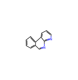 c1ccc2c(c1)cnc1ncccc12